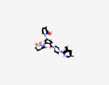 Cc1cnc(N2CCN(C(=O)c3ccc(N4CCCC4=O)cc3N3CCCS3(=O)=O)CC2)c(C)c1